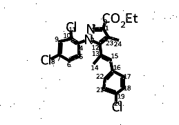 CCOC(=O)c1nn(-c2ccc(Cl)cc2Cl)c(C(C)=Cc2ccc(Cl)cc2)c1C